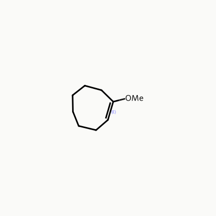 [CH2]O/C1=C/CCCCCC1